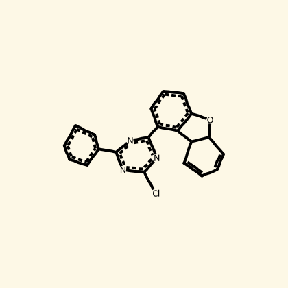 Clc1nc(-c2ccccc2)nc(-c2cccc3c2C2C=CC=CC2O3)n1